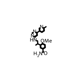 COc1ccc(C(N)=O)cc1C(C)CNc1cc(-c2ccc(C)nc2)ncn1